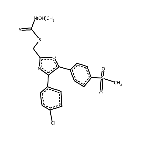 CN(O)C(=S)SCc1nc(-c2ccc(Cl)cc2)c(-c2ccc(S(C)(=O)=O)cc2)o1